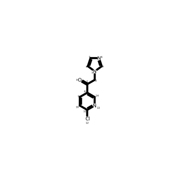 O=C(Cn1ccnc1)c1ccc(Cl)nc1